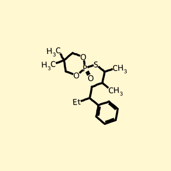 CCC(CC(C)C(C)SP1(=O)OCC(C)(C)CO1)c1ccccc1